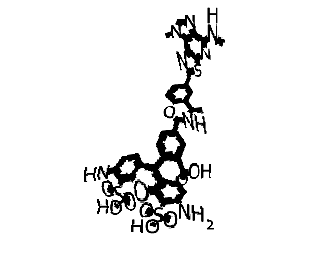 CNc1nc2sc(-c3cccc(C(C)NC(=O)c4ccc(-c5c6ccc(=N)c(S(=O)(=O)O)c-6oc6c(S(=O)(=O)O)c(N)ccc56)c(C(=O)O)c4)c3)nc2c2c1ncn2C